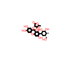 CC1OC(=O)C2=C1OC1(O2)c2cc(O)c(O)cc2Oc2cc(O)c(C3C[C@@H](CO)[C@H](C)[C@@H](O)[C@@H]3O)c(O)c21